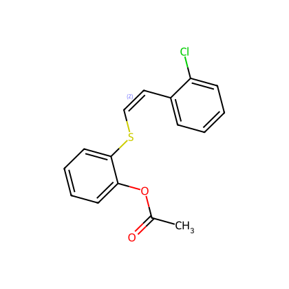 CC(=O)Oc1ccccc1S/C=C\c1ccccc1Cl